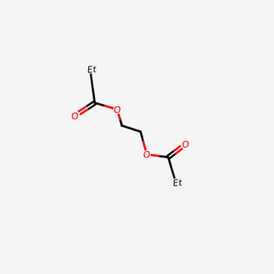 [CH2]CC(=O)OCCOC(=O)C[CH2]